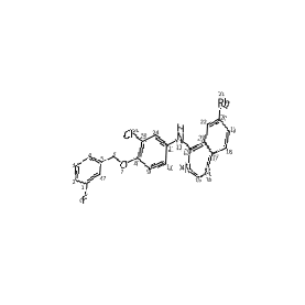 Fc1cccc(COc2ccc(Nc3ncnc4cc[c]([Rb])cc34)cc2Cl)c1